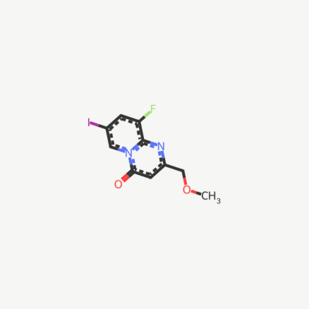 COCc1cc(=O)n2cc(I)cc(F)c2n1